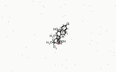 CC1(C)O[C@@H]2CC3[C@@H]4CCC5=CC(=O)C=C[C@]5(C)[C@H]4[C@@H](O)C[C@]3(C)[C@]2(C(=O)C(O)O)O1